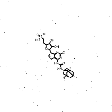 C[C@]12C[C@@H]3C[C@](C)(C1)C[C@@](NC(=O)Nc1nc(Cl)nc4c1ncn4C1OC(CCP(=O)(O)O)C(O)C1O)(C3)C2